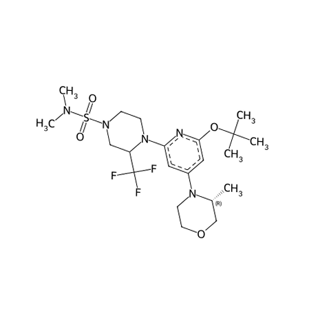 C[C@@H]1COCCN1c1cc(OC(C)(C)C)nc(N2CCN(S(=O)(=O)N(C)C)CC2C(F)(F)F)c1